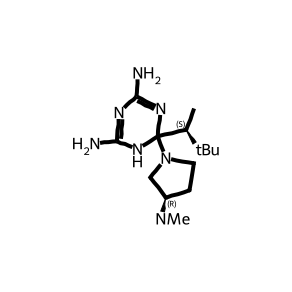 CN[C@@H]1CCN(C2([C@@H](C)C(C)(C)C)N=C(N)N=C(N)N2)C1